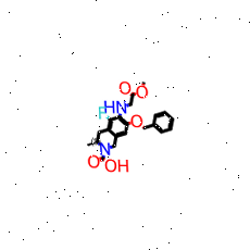 COC(=O)CNc1c(OCc2ccccc2)cc2c(c1F)C[C@H](C)N(C(=O)O)C2